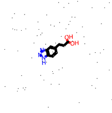 OC(O)CCc1ccc2[nH]nnc2c1